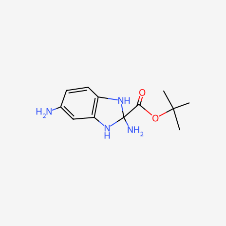 CC(C)(C)OC(=O)C1(N)Nc2ccc(N)cc2N1